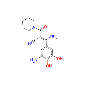 N#C/C(C(=O)N1CCCCC1)=C(/N)c1cc(N)c(O)c(O)c1